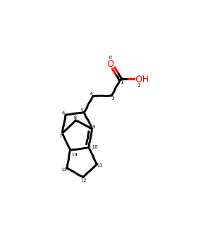 O=C(O)CCC1CC2CC1=C1CCCC12